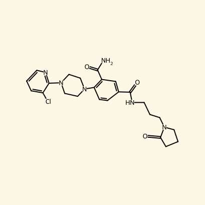 NC(=O)c1cc(C(=O)NCCCN2CCCC2=O)ccc1N1CCN(c2ncccc2Cl)CC1